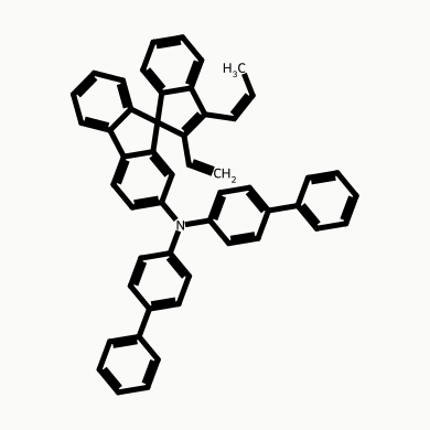 C=CC1=C(/C=C\C)c2ccccc2C12c1ccccc1-c1ccc(N(c3ccc(-c4ccccc4)cc3)c3ccc(-c4ccccc4)cc3)cc12